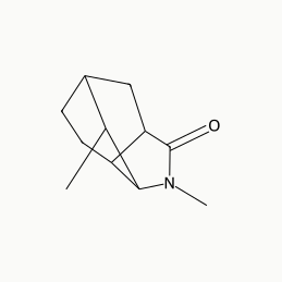 CC1C2CCC3C(C2)C(=O)N(C)C13